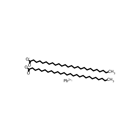 CCCCCCCCCCCCCCCCCCCCCCCCCC(=O)[O-].CCCCCCCCCCCCCCCCCCCCCCCCCC(=O)[O-].[Pb+2]